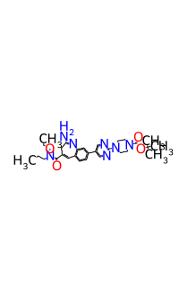 CCCN(OCC)C(=O)C1=Cc2ccc(-c3cnc(N4CCN(C(=O)OC(C)(C)C)CC4)nc3)cc2N=C(N)C1